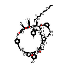 CCCOCCOCCC(=O)NC[C@H]1NC(=O)[C@H](C)NC(=O)CCC(=O)N2CCCCCCn3cc(c4cc(F)ccc43)C[C@@H]3NC(=O)[C@H](Cc4cccc(c4)CNC(=O)CO[C@H]4CCN(C3=O)[C@@H]4C(=O)N[C@@H]([C@@H](C)O)C(=O)N[C@@H](c3ccc(OC)cc3)C(=O)N3CCC[C@@]3(C)C(=O)NCCc3ccc(cc3)C2)NC1=O